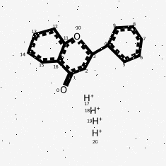 O=c1cc(-c2ccccc2)oc2ccccc12.[H+].[H+].[H+].[H+]